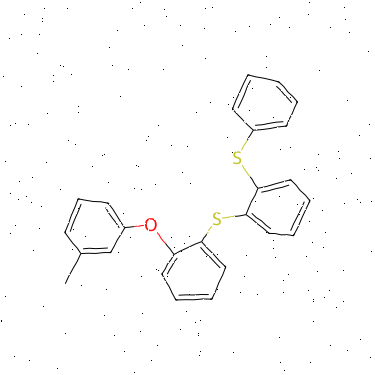 Cc1cccc(Oc2ccccc2Sc2ccccc2Sc2ccccc2)c1